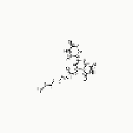 CCCCCCNC(=O)Oc1cc(C2CCC(=O)NC2=O)cc2c1C(=O)NC2=O